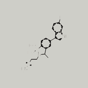 CC1c2cc(-c3c[nH]c4cc(F)ccc34)ccc2S(O)(O)N1CCS(N)(=O)=O